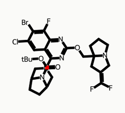 CC(C)(C)OC(=O)N1C2CCC1CN(c1nc(OCC34CCCN3CC(=C(F)F)C4)nc3c(F)c(Br)c(Cl)cc13)C2